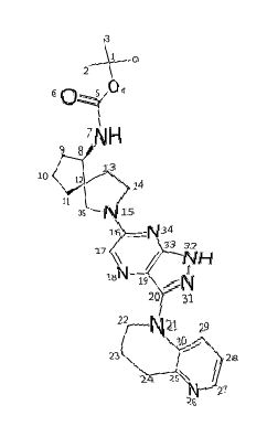 CC(C)(C)OC(=O)N[C@@H]1CCC[C@]12CCN(c1cnc3c(N4CCCc5ncccc54)n[nH]c3n1)C2